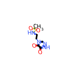 CS(=O)(=O)NCCn1[c]n[nH]c(=O)c1=O